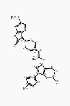 CCOC(=O)c1ccc2c(c1)oc(=O)n2C1CCN(CC(O)Cn2nc(-c3ccc(Br)cc3)c3c2CCN(C(C)=O)C3)CC1